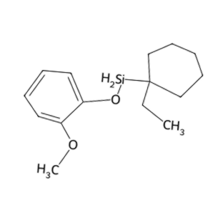 CCC1([SiH2]Oc2ccccc2OC)CCCCC1